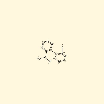 OB(O)c1ccccc1-c1cnccc1F